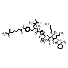 CCCCCON(C(=O)[C@@H](NC(=O)[C@H]1CCCCN1C)[C@@H](C)CC)[C@H](C[C@@H](OC(C)=O)c1nc(C(=O)N[C@@H](Cc2ccc(NC(=O)CCCCNC(N)=O)cc2)CC(C)(C)C(=O)O)cs1)C(C)C